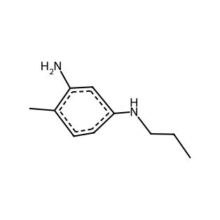 CCCNc1ccc(C)c(N)c1